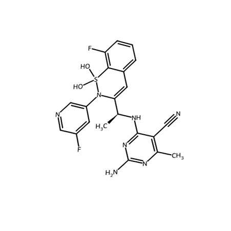 Cc1nc(N)nc(N[C@@H](C)C2=Cc3cccc(F)c3S(O)(O)N2c2cncc(F)c2)c1C#N